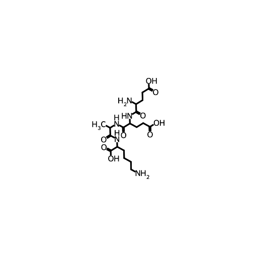 CC(NC(=O)C(CCC(=O)O)NC(=O)C(N)CCC(=O)O)C(=O)NC(CCCCN)C(=O)O